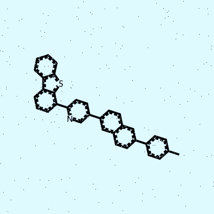 Cc1ccc(-c2ccc3cc(-c4ccc(-c5cccc6c5sc5ccccc56)nc4)ccc3c2)cc1